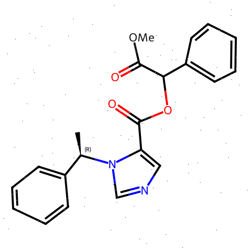 COC(=O)C(OC(=O)c1cncn1[C@H](C)c1ccccc1)c1ccccc1